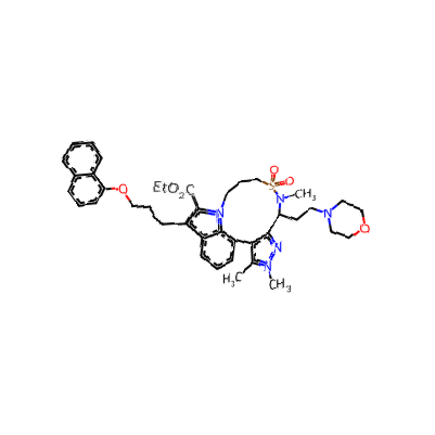 CCOC(=O)c1c(CCCOc2cccc3ccccc23)c2cccc3c2n1CCCS(=O)(=O)N(C)C(CCN1CCOCC1)c1nn(C)c(C)c1-3